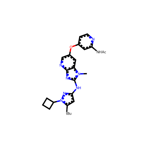 CC(=O)Nc1cc(Oc2cnc3nc(Nc4cc(C(C)(C)C)n(C5CCC5)n4)n(C)c3c2)ccn1